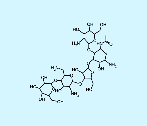 CC(=O)NC1CC(N)C(O)C(OC2OC(CO)C(OC3OC(CN)C(OC4OC(CO)C(O)C(O)C4O)C(O)C3N)C2O)C1OC1OC(CO)C(O)C(O)C1N